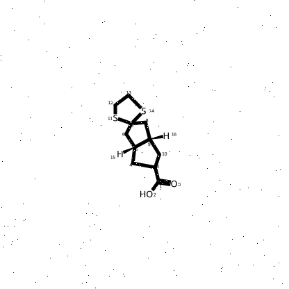 O=C(O)C1C[C@@H]2CC3(C[C@@H]2C1)SCCS3